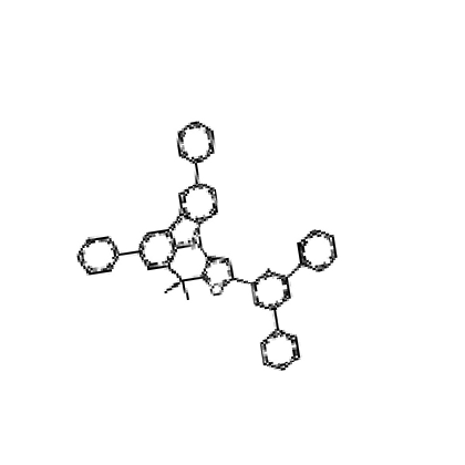 CC1(C)c2oc(-c3cc(-c4ccccc4)cc(-c4ccccc4)c3)cc2-n2c3ccc(-c4ccccc4)cc3c3cc(-c4ccccc4)cc1c32